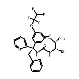 CC[C@@H](NC(=O)N[C@@](Cc1ccccc1)(c1cc(F)cc(OC(F)(F)C(F)F)c1)c1ccccn1)[C@@H](O)C(F)(F)F